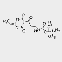 CC=C1OC(=O)C(C(=O)CCNC(=O)OC(C)(C)C)C(=O)O1